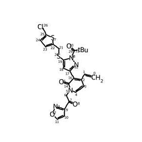 C=Cc1ccn(CC(=O)c2ccon2)c(=O)c1-c1cc(SCc2ccc(Cl)s2)n(C(=O)C(C)(C)C)n1